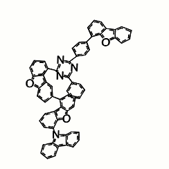 c1ccc(-c2nc(-c3ccc(-c4cccc5c4oc4ccccc45)cc3)nc(-c3cccc4oc5ccc(-c6cccc7oc8c(-n9c%10ccccc%10c%10ccccc%109)cccc8c67)cc5c34)n2)cc1